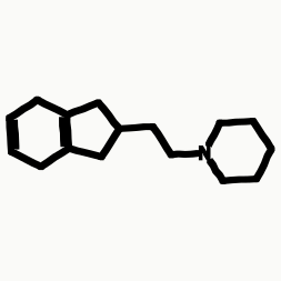 C1=CCC2=C(C1)CC(CCN1CCCCC1)C2